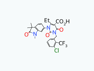 CCc1c(C(=O)O)c(=O)n(Cc2cccc(Cl)c2C(F)(F)F)c(=O)n1-c1ccc2c(c1)N(C)C(=O)C2(C)C